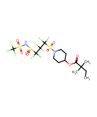 CCC(C)(C)C(=O)OC1CCN(S(=O)(=O)C(F)(F)C(F)(F)C(F)(F)S(=O)(=O)NS(=O)(=O)C(F)(F)F)CC1